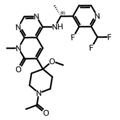 COC1(c2cc3c(N[C@H](C)c4ccnc(C(F)F)c4F)ncnc3n(C)c2=O)CCN(C(C)=O)CC1